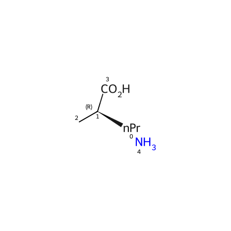 CCC[C@@H](C)C(=O)O.N